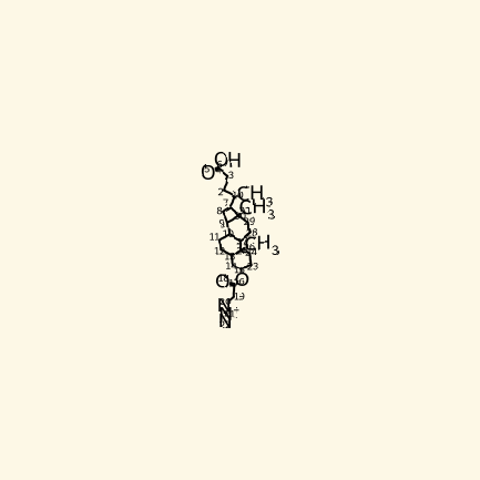 C[C@H](CCC(=O)O)C1CC2C3CCC4CC(OC(=O)CN=[N+]=[N-])CCC4(C)C3CCC21C